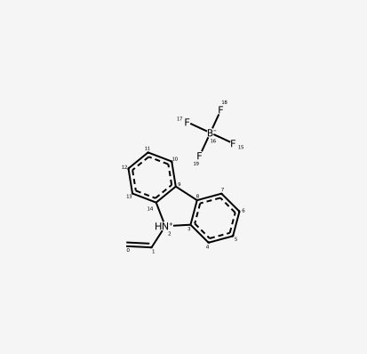 C=C[NH+]1c2ccccc2-c2ccccc21.F[B-](F)(F)F